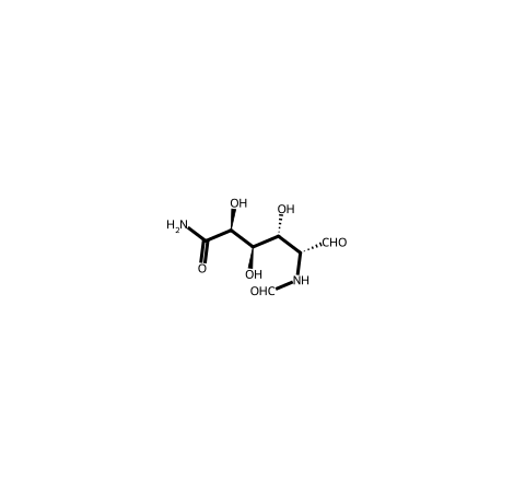 NC(=O)[C@@H](O)[C@H](O)[C@H](O)[C@H](C=O)NC=O